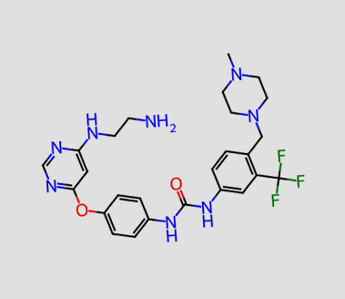 CN1CCN(Cc2ccc(NC(=O)Nc3ccc(Oc4cc(NCCN)ncn4)cc3)cc2C(F)(F)F)CC1